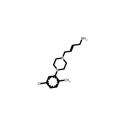 Cc1ccc(Cl)cc1N1CCN(C/C=C/CN)CC1